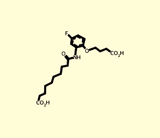 O=C(O)CCCCCCCCC(=O)Nc1cc(F)ccc1OCCCC(=O)O